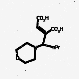 CCCC(C(=CC(=O)O)C(=O)O)N1CCOCC1